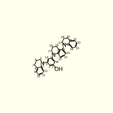 Oc1cc(N2CCCc3ccccc32)cc(N2CCCc3c2cccc3N2CCCc3ccccc32)c1